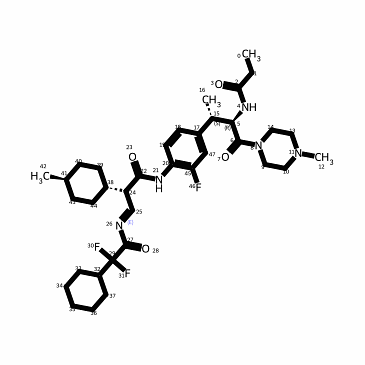 CCC(=O)N[C@@H](C(=O)N1CCN(C)CC1)[C@@H](C)c1ccc(NC(=O)C(/C=N/C(=O)C(F)(F)C2CCCCC2)[C@H]2CC[C@H](C)CC2)c(F)c1